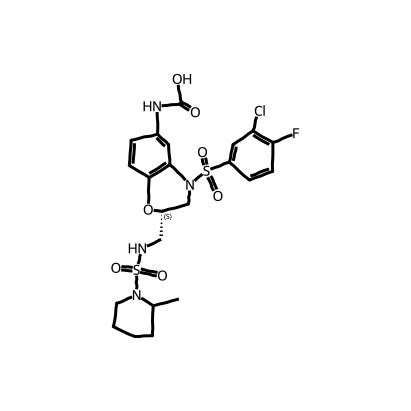 CC1CCCCN1S(=O)(=O)NC[C@H]1CN(S(=O)(=O)c2ccc(F)c(Cl)c2)c2cc(NC(=O)O)ccc2O1